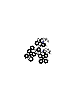 C=C/C(=C\C)N1C2=C3C(=CCC2B2C4=C(C5c6ccccc6C(c6ccccc6)(C6C=CC=CCN6)C5C=C4)N(c4ccccc4)c4cc(N(c5ccccc5)c5cccc6oc(C=C)c(/C(C)=C\C)c56)cc1c42)C(c1ccccc1)(C1C=CC=CC1)c1ccccc13